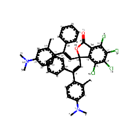 Cc1cc(N(C)C)ccc1/C(=C/C1(/C=C(\c2ccccc2)c2ccc(N(C)C)cc2C)OC(=O)c2c(Cl)c(Cl)c(Cl)c(Cl)c21)c1ccccc1